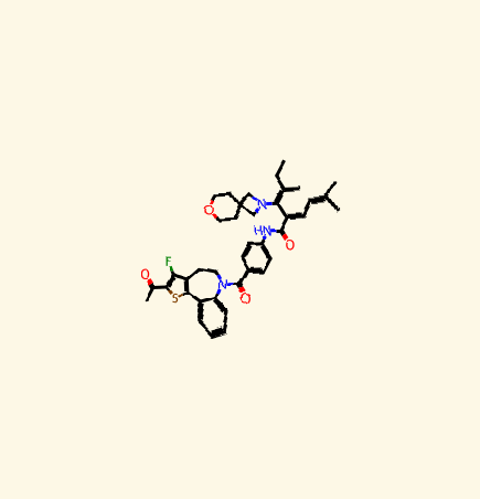 CC/C(C)=C(/C(=C\C=C(C)C)C(=O)Nc1ccc(C(=O)N2CCc3c(sc(C(C)=O)c3F)-c3ccccc32)cc1)N1CC2(CCOCC2)C1